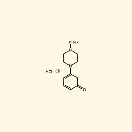 CCCCCCN1CCN(C2=CC=CC(=O)C2)CC1.Cl.Cl